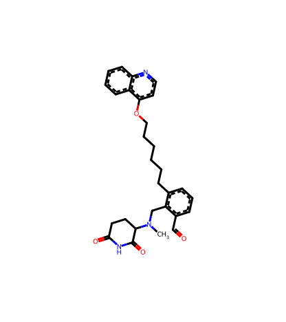 CN(Cc1c(C=O)cccc1CCCCCCOc1ccnc2ccccc12)C1CCC(=O)NC1=O